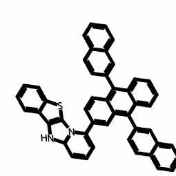 C1=CC2Nc3c(sc4ccccc34)N2C(c2ccc3c(-c4ccc5ccccc5c4)c4ccccc4c(-c4ccc5ccccc5c4)c3c2)=C1